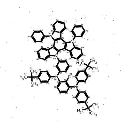 CC(C)(C)c1ccc(N(c2ccc(C(C)(C)C)cc2)c2cccc(N(c3ccc(C(C)(C)C)cc3)c3cccc(-n4c5ccccc5c5c6c(c7ccccc7n6-c6ccccc6)c6c(c7ccccc7n6-c6ccccc6)c54)c3)c2Cl)cc1